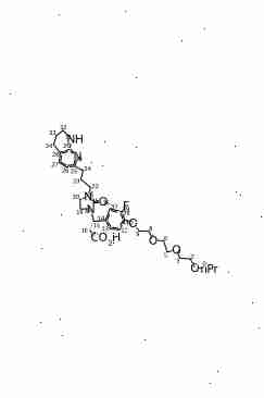 CCCOCCOCCOCCOc1ccc([C@H](CC(=O)O)N2CCN(CCCc3ccc4c(n3)NCCC4)C2=O)cc1F